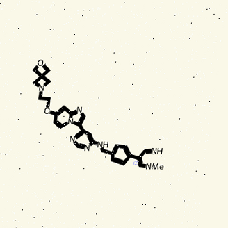 CN/C=C(\C=N)c1ccc(CNc2cc(-c3cnc4cc(OCCN5CC6(COC6)C5)ccn34)ncn2)cc1